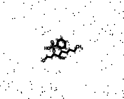 CCCCCCCCC[O-].O=S(=O)(O)c1ccccc1.[Na+]